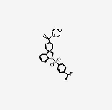 O=C(C1CCC2(CC1)CN(S(=O)(=O)c1ccc(C(F)F)cc1)c1ccccc12)N1CCOCC1